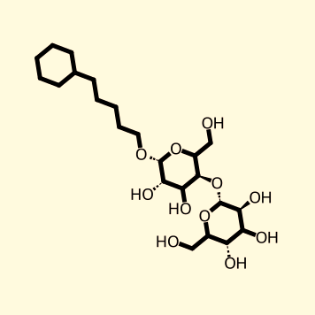 OCC1O[C@H](O[C@@H]2C(CO)O[C@@H](OCCCCCC3CCCCC3)[C@@H](O)C2O)[C@@H](O)C(O)[C@@H]1O